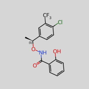 C[C@H](ONC(=O)c1ccccc1O)c1ccc(Cl)c(C(F)(F)F)c1